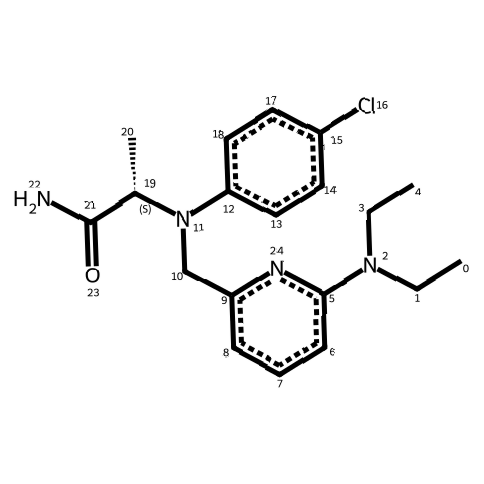 CCN(CC)c1cccc(CN(c2ccc(Cl)cc2)[C@@H](C)C(N)=O)n1